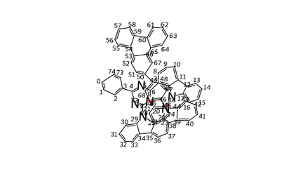 c1ccc(-c2nc(-c3cccc4c5ccccc5n(-c5ccccc5)c34)nc(-n3c4ccccc4c4ccc5c6ccccc6n(-c6ccc(-c7ccc8c9ccccc9c9ccccc9c8c7)cc6)c5c43)n2)cc1